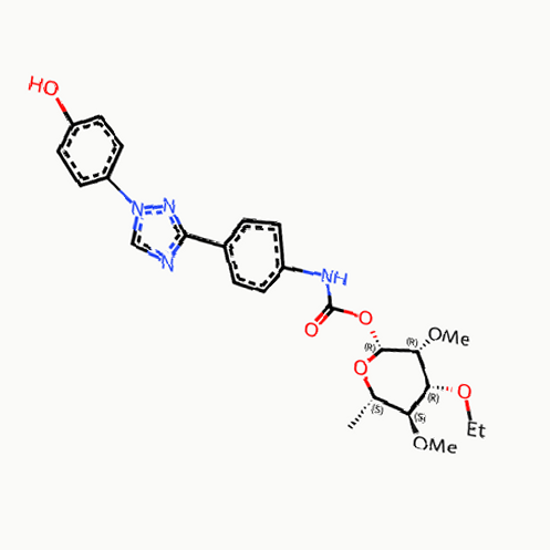 CCO[C@@H]1[C@@H](OC)[C@H](C)O[C@H](OC(=O)Nc2ccc(-c3ncn(-c4ccc(O)cc4)n3)cc2)[C@@H]1OC